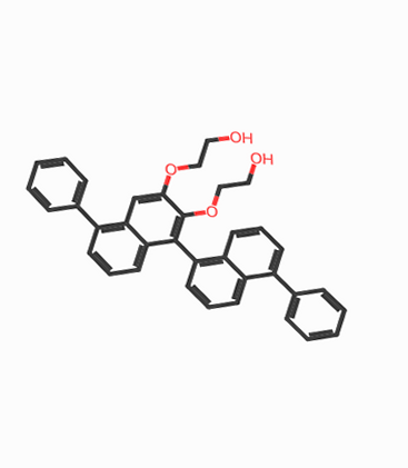 OCCOc1cc2c(-c3ccccc3)cccc2c(-c2cccc3c(-c4ccccc4)cccc23)c1OCCO